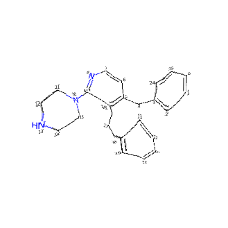 c1ccc(Cc2ccnc(N3CCNCC3)c2Cc2ccccc2)cc1